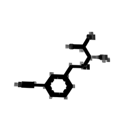 C[C@H](NCc1cccc(C#N)c1)C(=O)O